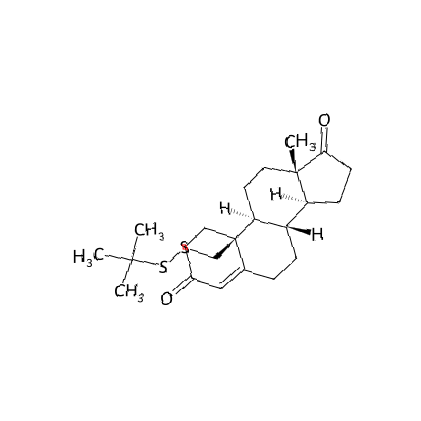 CC(C)(C)SSC[C@]12CCC(=O)C=C1CC[C@@H]1[C@@H]2CC[C@]2(C)C(=O)CC[C@@H]12